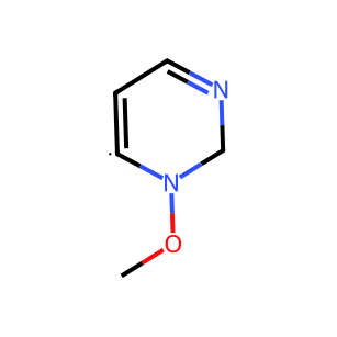 CON1[C]=CC=NC1